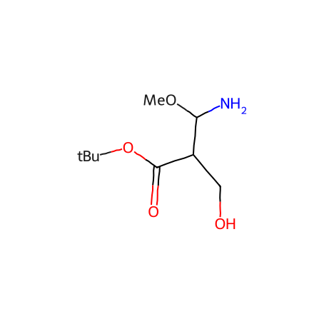 COC(N)C(CO)C(=O)OC(C)(C)C